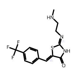 CNCC/N=C1/NC(=O)/C(=C/c2ccc(C(F)(F)F)cc2)S1